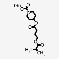 C=C(C)C(=O)OCCCC(=O)OC1CCN(C(=O)OC(C)(C)C)CC1